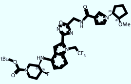 CO[C@@H]1CCC[C@H]1n1ccc(C(=O)NCc2nc(-c3cc4c(N[C@@H]5CN(C(=O)OC(C)(C)C)CC[C@@H]5F)cccc4n3CC(F)(F)F)no2)c1